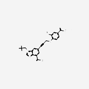 CNC(=O)c1ccc(NCC#Cc2cc(C(N)=O)c3ncn(CC(F)(F)F)c3c2)c(OC)c1